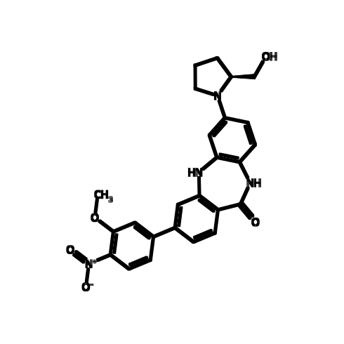 COc1cc(-c2ccc3c(c2)Nc2cc(N4CCC[C@H]4CO)ccc2NC3=O)ccc1[N+](=O)[O-]